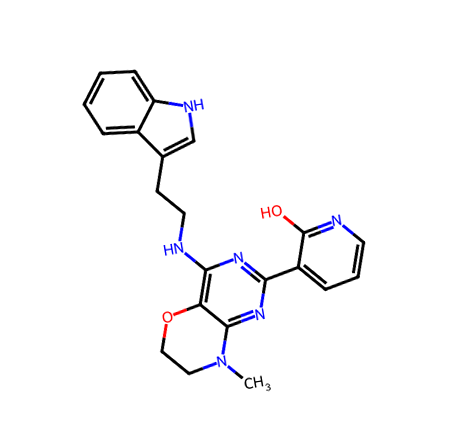 CN1CCOc2c(NCCc3c[nH]c4ccccc34)nc(-c3cccnc3O)nc21